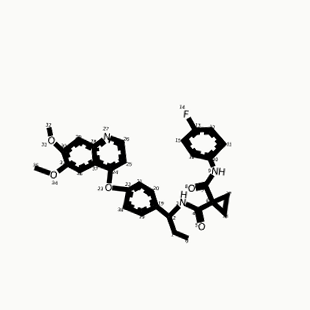 CCC(NC(=O)C1(C(=O)Nc2ccc(F)cc2)CC1)c1ccc(Oc2ccnc3cc(OC)c(OC)cc23)cc1